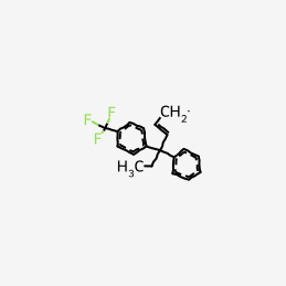 [CH2]C=CC(CC)(c1ccccc1)c1ccc(C(F)(F)F)cc1